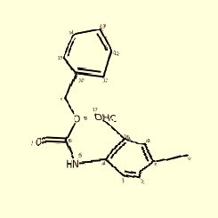 Cc1ccc(NC(=O)OCc2ccccc2)c(C=O)c1